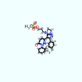 Cc1ccccc1-n1nc(-c2c(-c3ccc(F)cc3)nn3c2N(CCCOS(C)(=O)=O)CC3)ccc1=O